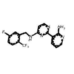 Nc1ncccc1-c1nccc(NCc2cc(F)ccc2C(F)(F)F)n1